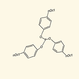 CCCCCCCCc1ccc(OP(Oc2ccc(CCCCCCCC)cc2)Oc2ccc(CCCCCCCC)cc2)cc1